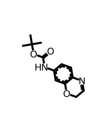 CC(C)(C)OC(=O)Nc1ccc2c(c1)OCC=N2